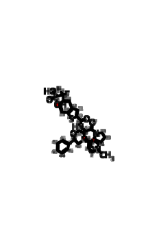 CN1CCC(C[C@H](NC(=O)c2cc3cc(C(F)(F)P(=O)(O)O)ccc3s2)C(=O)N2CCC[C@H]2C(=O)N2CCO[C@H](c3ccccc3)C2)CC1